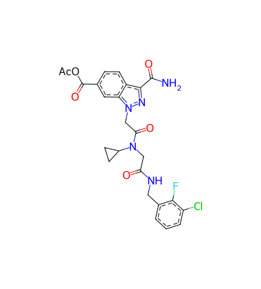 CC(=O)OC(=O)c1ccc2c(C(N)=O)nn(CC(=O)N(CC(=O)NCc3cccc(Cl)c3F)C3CC3)c2c1